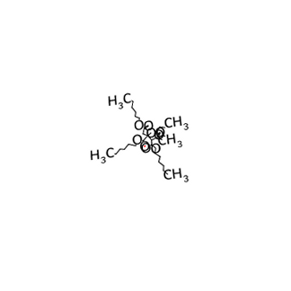 CCCCCCOC(=O)CC(OC(=O)CCC)(C(=O)OCCCCCC)C(C(C)=O)C(=O)OCCCCCC